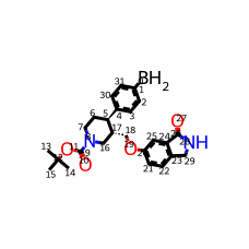 Bc1ccc([C@@H]2CCN(C(=O)OC(C)(C)C)C[C@H]2COc2ccc3c(c2)C(=O)NC3)cc1